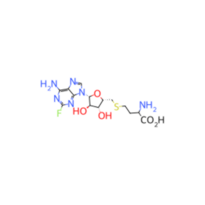 Nc1nc(F)nc2c1ncn2[C@@H]1O[C@H](CSCCC(N)C(=O)O)[C@H](O)[C@H]1O